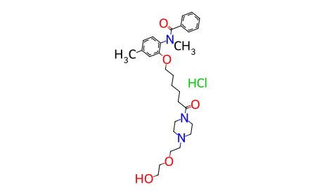 Cc1ccc(N(C)C(=O)c2ccccc2)c(OCCCCCC(=O)N2CCN(CCOCCO)CC2)c1.Cl